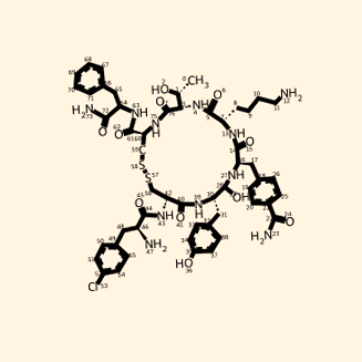 C[C@@H](O)[C@@H]1NC(=O)[C@H](CCCCN)NC(=O)[C@@H](Cc2ccc(C(N)=O)cc2)NC(O)[C@H](Cc2ccc(O)cc2)NC(=O)[C@H](NC(=O)[C@@H](N)Cc2ccc(Cl)cc2)CSSC[C@@H](C(=O)NC(Cc2ccccc2)C(N)=O)NC1=O